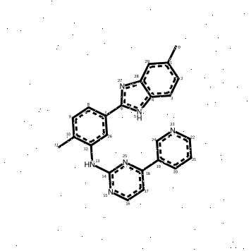 Cc1ccc2[nH]c(-c3ccc(C)c(Nc4nccc(-c5cccnc5)n4)c3)nc2c1